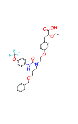 CCOC(Cc1ccc(OCCN(CCCOCc2ccccc2)C(=O)Nc2ccc(OC(F)(F)F)cc2)cc1)C(=O)O